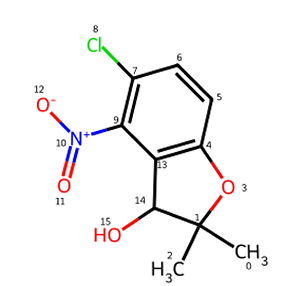 CC1(C)Oc2ccc(Cl)c([N+](=O)[O-])c2C1O